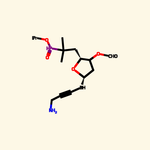 CC(C)O[PH](=O)C(C)(C)C[C@H]1O[C@@H](BC#CCN)CC1OC=O